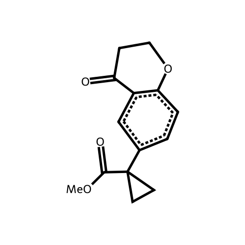 COC(=O)C1(c2ccc3c(c2)C(=O)CCO3)CC1